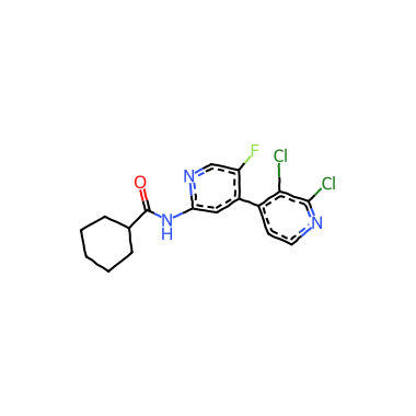 O=C(Nc1cc(-c2ccnc(Cl)c2Cl)c(F)cn1)C1CCCCC1